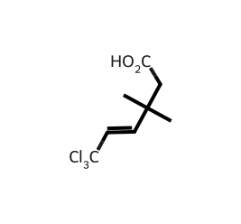 CC(C)(/C=C/C(Cl)(Cl)Cl)CC(=O)O